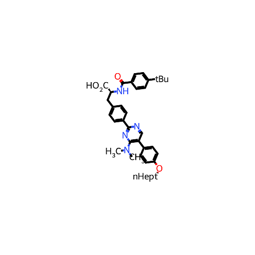 CCCCCCCOc1ccc(-c2cnc(-c3ccc(C[C@H](NC(=O)c4ccc(C(C)(C)C)cc4)C(=O)O)cc3)nc2N(C)C)cc1